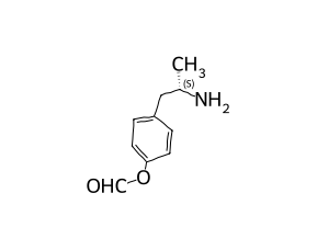 C[C@H](N)Cc1ccc(OC=O)cc1